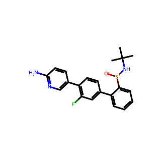 CC(C)(C)N[S+]([O-])c1ccccc1-c1ccc(-c2ccc(N)nc2)c(F)c1